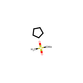 C1CCCC1.COS(C)(=O)=O